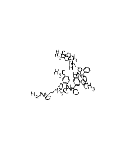 COc1cc(C(=O)N(C)c2ccc(C)cc2OCCCCCC(N)=O)ccc1NC(=O)c1ccccc1OCCCNC(=O)OC(C)(C)C